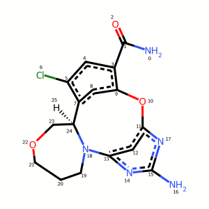 NC(=O)c1cc(Cl)c2cc1Oc1cc(nc(N)n1)N1CCCOC[C@@H]21